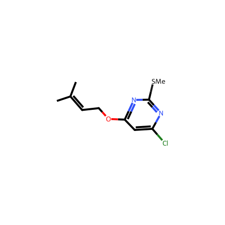 CSc1nc(Cl)cc(OCC=C(C)C)n1